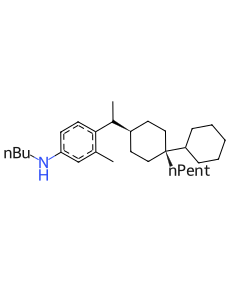 CCCCC[C@]1(C2CCCCC2)CC[C@H](C(C)c2ccc(NCCCC)cc2C)CC1